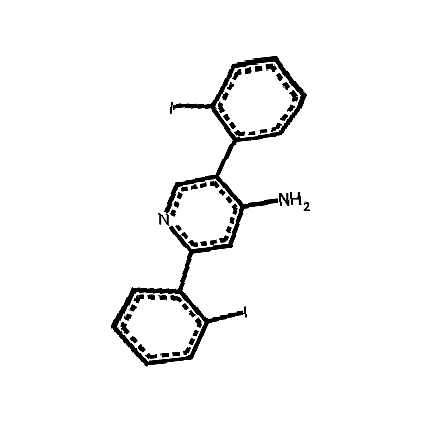 Nc1cc(-c2ccccc2I)ncc1-c1ccccc1I